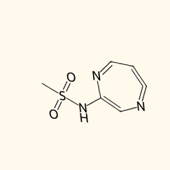 CS(=O)(=O)NC1=CN=C=CC=N1